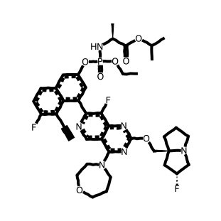 C#Cc1c(F)ccc2cc(OP(=O)(N[C@@H](C)C(=O)OC(C)C)OCC)cc(-c3ncc4c(N5CCCOCC5)nc(OC[C@@]56CCCN5C[C@H](F)C6)nc4c3F)c12